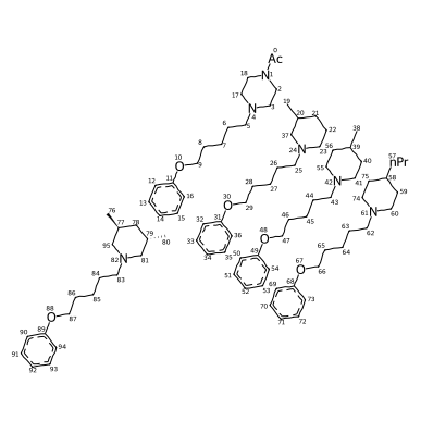 CC(=O)N1CCN(CCCCCOc2ccccc2)CC1.CC1CCCN(CCCCCOc2ccccc2)C1.CC1CCN(CCCCCOc2ccccc2)CC1.CCCC1CCN(CCCCCOc2ccccc2)CC1.C[C@H]1C[C@H](C)CN(CCCCCOc2ccccc2)C1